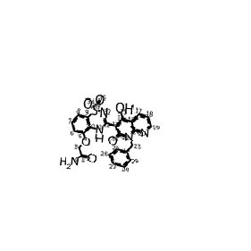 NC(=O)COc1cccc2c1NC(c1c(O)c3cccnc3n(Cc3ccccc3)c1=O)=NS2(=O)=O